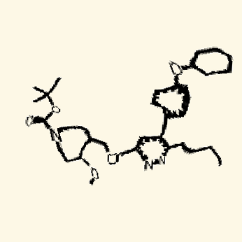 CCCCc1nnc(OCC2CN(C(=O)OC(C)(C)C)CC[C@@H]2OC)cc1-c1ccc(OC2CCCCC2)cc1